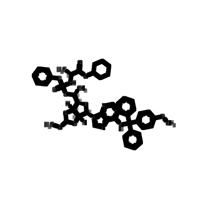 COc1ccc(C(Nc2ncnc3c2ncn3[C@@H]2O[C@H]([C@H](C)OP(=O)(N[C@@H](C)C(=O)OC3CCCCC3)Oc3ccccc3)[C@H]3OC(OC)O[C@H]32)(c2ccccc2)c2ccccc2)cc1